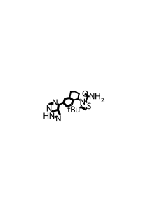 CC(C)(C)C1=CSC(C(N)=O)N1C1CCCc2cc(-c3ncnc4[nH]ncc34)ccc21